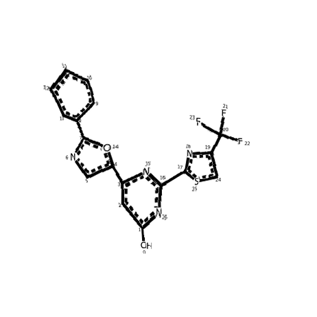 Oc1cc(-c2cnc(-c3ccccc3)o2)nc(-c2nc(C(F)(F)F)cs2)n1